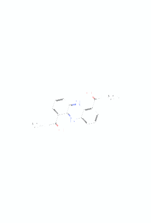 COC(=O)c1cccc2nc3c(C(=O)OC)cccc3nc12